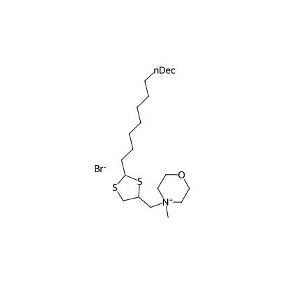 CCCCCCCCCCCCCCCCCC1SCC(C[N+]2(C)CCOCC2)S1.[Br-]